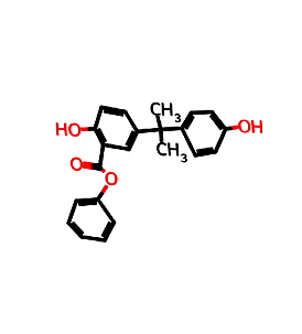 CC(C)(c1ccc(O)cc1)c1ccc(O)c(C(=O)Oc2ccccc2)c1